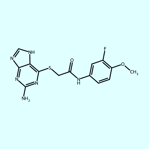 COc1ccc(NC(=O)CSc2nc(N)nc3nc[nH]c23)cc1F